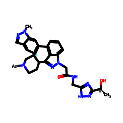 CC(=O)N1CCC(c2nn(CC(=O)NCc3nc([C@@H](C)O)n[nH]3)c3cccc(-c4cc5c(cnn5C)cc4F)c23)CC1